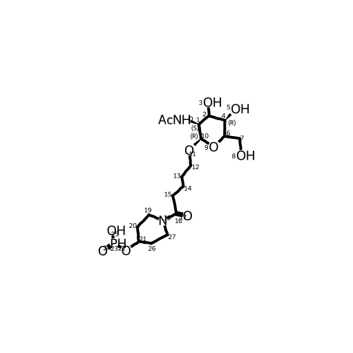 CC(=O)N[C@H]1C(O)[C@@H](O)C(CO)O[C@H]1OCCCCC(=O)N1CCC(O[PH](=O)O)CC1